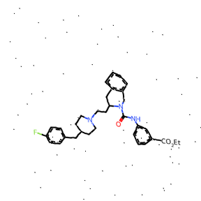 CCOC(=O)c1cccc(NC(=O)N2Cc3ccccc3CC2CCN2CCC(Cc3ccc(F)cc3)CC2)c1